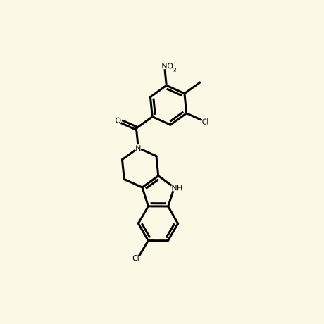 Cc1c(Cl)cc(C(=O)N2CCc3c([nH]c4ccc(Cl)cc34)C2)cc1[N+](=O)[O-]